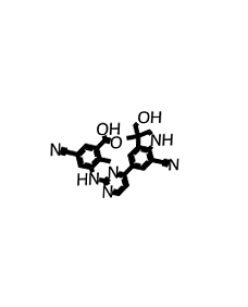 Cc1c(Nc2nccc(-c3cc(C#N)c4c(c3)C(C)(CO)CN4)n2)cc(C#N)cc1C(=O)O